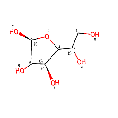 OC[C@H](O)C1O[C@H](O)C(O)[C@@H]1O